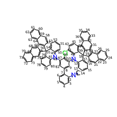 [C-]#[N+]c1ccccc1-c1cc(N2c3ccccc3C(c3ccc4ccccc4c3)(c3ccc4ccccc4c3)c3ccccc32)c(Cl)c(N2c3ccccc3C(c3ccc4ccccc4c3)(c3ccc4ccccc4c3)c3ccccc32)c1